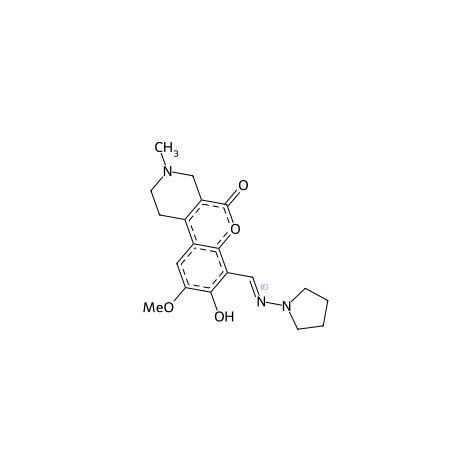 COc1cc2c3c(c(=O)oc2c(/C=N/N2CCCC2)c1O)CN(C)CC3